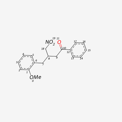 COc1ccccc1CC(CC(=O)c1ccccc1)C[N+](=O)[O-]